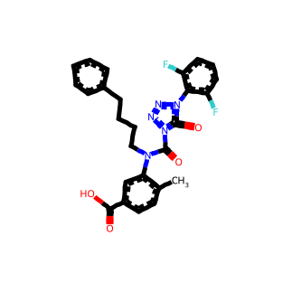 Cc1ccc(C(=O)O)cc1N(CCCCc1ccccc1)C(=O)n1nnn(-c2c(F)cccc2F)c1=O